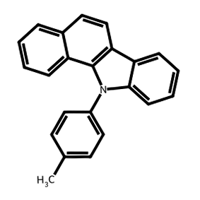 Cc1ccc(-n2c3ccccc3c3ccc4ccccc4c32)cc1